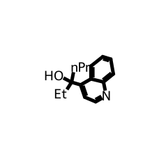 CCCC(O)(CC)c1ccnc2ccccc12